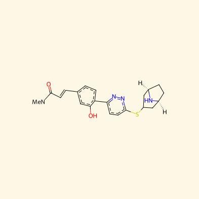 CNC(=O)/C=C/c1ccc(-c2ccc(SC3C[C@H]4CC[C@@H](C3)N4)nn2)c(O)c1